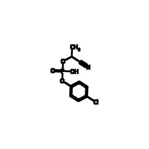 CC(C#N)OP(=O)(O)Oc1ccc(Cl)cc1